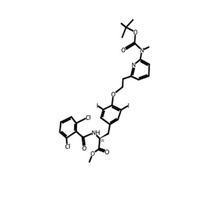 COC(=O)[C@H](Cc1cc(I)c(OCCc2cccc(N(C)C(=O)OC(C)(C)C)n2)c(I)c1)NC(=O)c1c(Cl)cccc1Cl